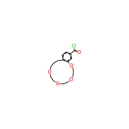 O=C(Cl)c1ccc2c(c1)OCCOCCOCCOCCC2